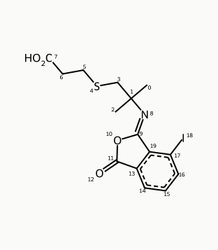 CC(C)(CSCCC(=O)O)/N=C1\OC(=O)c2cccc(I)c21